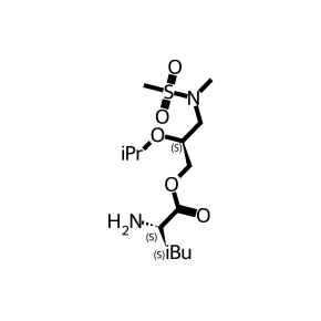 CC[C@H](C)[C@H](N)C(=O)OC[C@H](CN(C)S(C)(=O)=O)OC(C)C